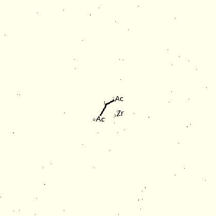 CC(=O)CC(C)=O.[Zr]